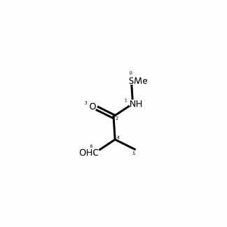 CSNC(=O)C(C)C=O